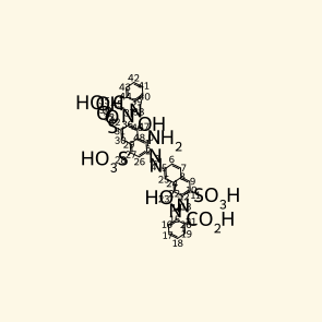 Nc1c(N=Nc2ccc3cc(S(=O)(=O)O)c(N=Nc4ccccc4C(=O)O)c(O)c3c2)cc(S(=O)(=O)O)c2cc(SOOO)c(N=Nc3ccccc3C(=O)O)c(O)c12